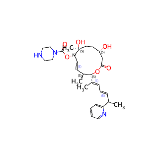 C/C(=C\C=C\C(C)c1ccccn1)[C@H]1OC(=O)C[C@@H](O)CC[C@](C)(O)[C@@H](OC(=O)N2CCNCC2)/C=C/[C@@H]1C